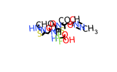 CN1CCN(C(=O)OCC2=C(C(=O)O)N3C(=O)C(NC(=O)Cc4csc(NC=O)n4)[C@H]3SC2)CC1.O=C(O)C(F)(F)F